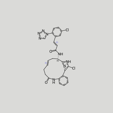 O=C(/C=C/c1cc(Cl)ccc1-n1cnnn1)N[C@H]1C/C=C/CCC(=O)Nc2ccccc2-c2nc1[nH]c2Cl